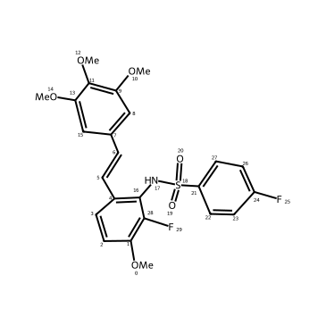 COc1ccc(C=Cc2cc(OC)c(OC)c(OC)c2)c(NS(=O)(=O)c2ccc(F)cc2)c1F